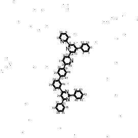 c1ccc(-c2cc(-c3ccccn3)nc(-c3ccc(-c4ccc(-c5cccc(-c6cc(-c7ccccc7)nc(-c7ccccc7)n6)c5)cc4)cn3)c2)cc1